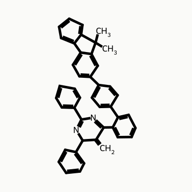 C=C1C(c2ccccc2-c2ccc(-c3ccc4c(c3)C(C)(C)c3ccccc3-4)cc2)=NC(c2ccccc2)=NC1c1ccccc1